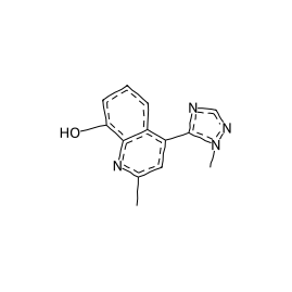 Cc1cc(-c2ncnn2C)c2cccc(O)c2n1